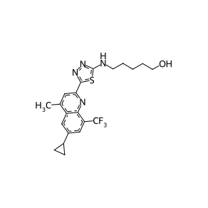 Cc1cc(-c2nnc(NCCCCCO)s2)nc2c(C(F)(F)F)cc(C3CC3)cc12